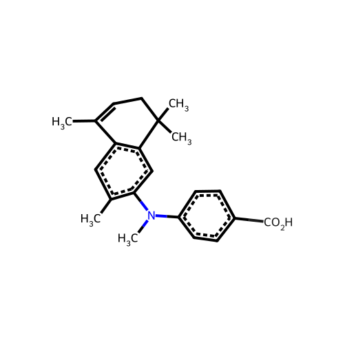 CC1=CCC(C)(C)c2cc(N(C)c3ccc(C(=O)O)cc3)c(C)cc21